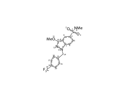 CNS(=O)(=O)c1ccc2c(c1)c(OC)nn2Cc1ccc(C(F)(F)F)cc1